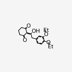 CCOc1ccc(CC(O)=C2C(=O)CCCC2=O)cc1OCC